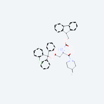 CC1CCN(C(=O)C(CC(=O)OC(c2ccccc2)(c2ccccc2)c2ccccc2Cl)NC(=O)OCC2c3ccccc3-c3ccccc32)CC1